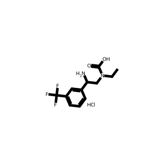 CCN(CC(N)c1cccc(C(F)(F)F)c1)C(=O)O.Cl